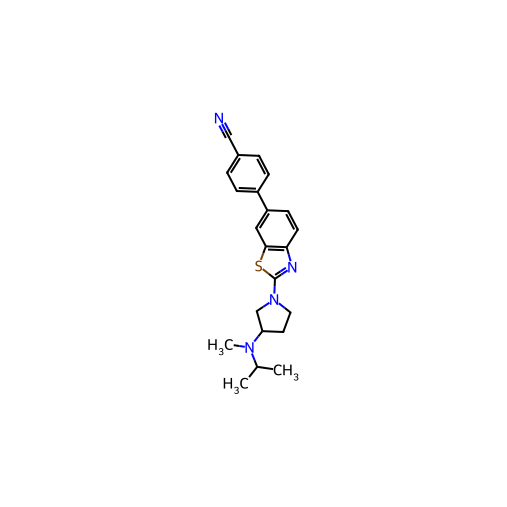 CC(C)N(C)C1CCN(c2nc3ccc(-c4ccc(C#N)cc4)cc3s2)C1